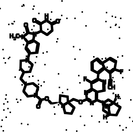 C#Cc1c(F)ccc2cccc(-c3ncc4c(N5C[C@H]6CC[C@@H](C5)N6)nc(OC[C@@]56CCCN5[C@H](COC(=O)N5CCC(CC7CCN(c8ccc9c(c8)n(C)c(=O)n9C8CCC(=O)NC8=O)CC7)CC5)CC6)nc4c3F)c12